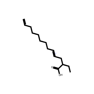 C=CCCCCCC/C=C/CC(CC)C(=O)O